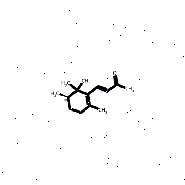 CC(=O)/C=C/C1=C(C)CC[C@@H](C)C1(C)C